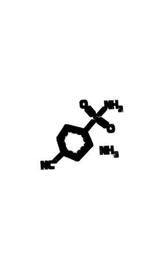 N.N#Cc1ccc(S(N)(=O)=O)cc1